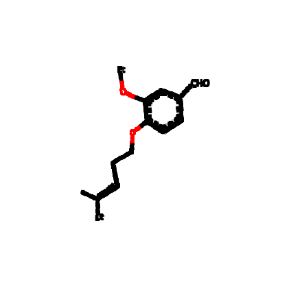 CCOc1cc(C=O)ccc1OCCC=C(C)CC